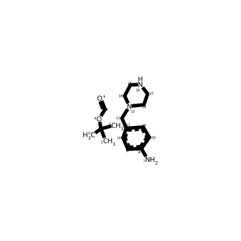 CC(C)(C)OC=O.Nc1ccc(CN2CCNCC2)cc1